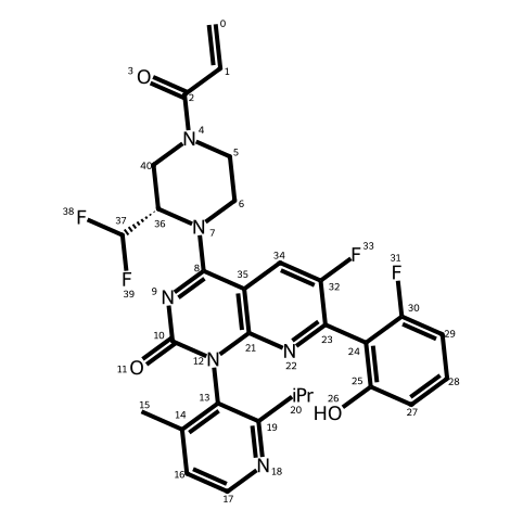 C=CC(=O)N1CCN(c2nc(=O)n(-c3c(C)ccnc3C(C)C)c3nc(-c4c(O)cccc4F)c(F)cc23)[C@H](C(F)F)C1